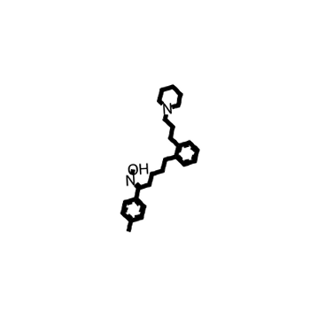 Cc1ccc(C(CCCCc2ccccc2CCCN2CCCCC2)=NO)cc1